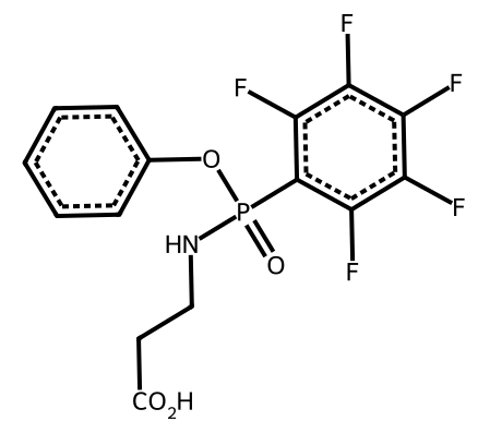 O=C(O)CCNP(=O)(Oc1ccccc1)c1c(F)c(F)c(F)c(F)c1F